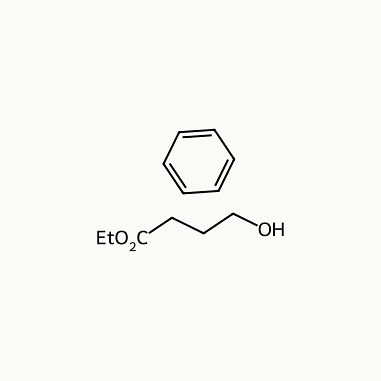 CCOC(=O)CCCO.c1ccccc1